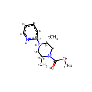 C[C@@H]1CN(C(=O)OC(C)(C)C)[C@@H](C)CN1c1ccccn1